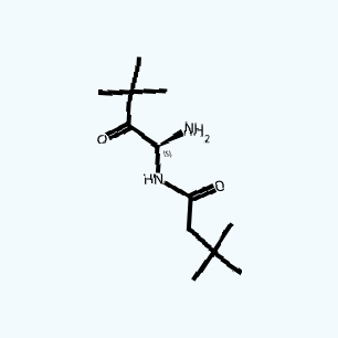 CC(C)(C)CC(=O)N[C@H](N)C(=O)C(C)(C)C